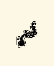 COc1nc(-c2cccc(-c3cccc(-n4cc5cc(C=O)cnc5n4)c3Cl)c2Cl)ccc1CNCC1CCC(=O)N1